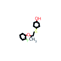 CC(CCSc1ccc(O)cc1)Oc1ccccc1F